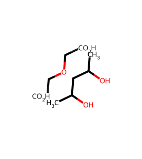 CC(O)CC(C)O.O=C(O)COCC(=O)O